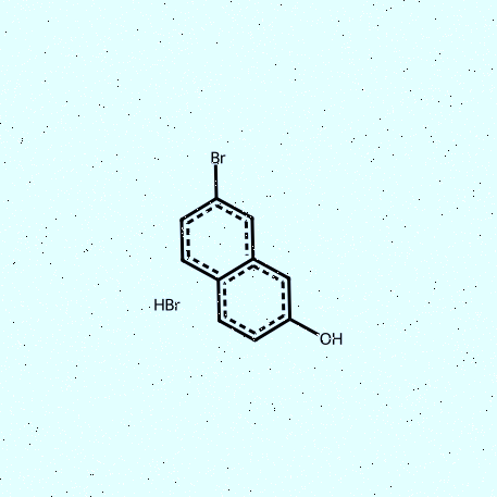 Br.Oc1ccc2ccc(Br)cc2c1